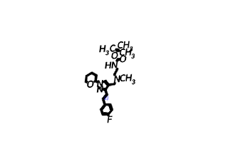 CN(CCNC(=O)OC(C)(C)C)Cc1cn(C2CCCCO2)nc1/C=C/c1ccc(F)cc1